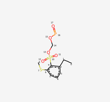 CCc1cccc(SC)c1S(=O)(=O)OCOP=O